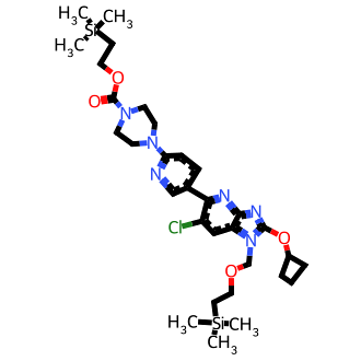 C[Si](C)(C)CCOCn1c(OC2CCC2)nc2nc(-c3ccc(N4CCN(C(=O)OCC[Si](C)(C)C)CC4)nc3)c(Cl)cc21